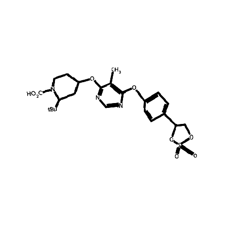 Cc1c(Oc2ccc(C3COS(=O)(=O)O3)cc2)ncnc1OC1CCN(C(=O)O)C(C(C)(C)C)C1